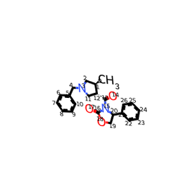 C[C@@H]1CN(Cc2ccccc2)C[C@H]1C(=O)N1C(=O)OCC1c1ccccc1